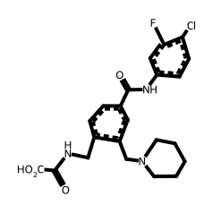 O=C(O)C(=O)NCc1ccc(C(=O)Nc2ccc(Cl)c(F)c2)cc1CN1CCCCC1